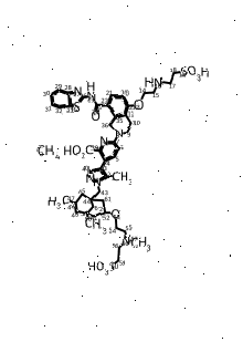 C.Cc1c(-c2ccc(N3CCc4c(OCCNCCS(=O)(=O)O)ccc(C(=O)Nc5nc6ccccc6s5)c4C3)nc2C(=O)O)cnn1CC12CC(C)CC(C)(CC(OCCN(C)CCS(=O)(=O)O)C1)C2